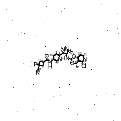 C[C@@H](OC(=O)Nc1c(-c2ccc(NC(=O)C3CC(F)(C#N)C3)cn2)nnn1C)c1cccnc1Cl